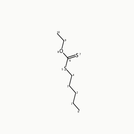 CCCCCSC(=S)OCC